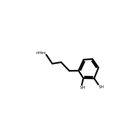 CCCCCCCCCc1cccc(S)c1S